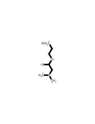 CCOC(=O)CCOC([O])CN(C)C